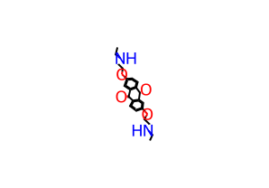 CCNCCOc1ccc2c(c1)C(=O)c1ccc(OCCNCC)cc1C2=O